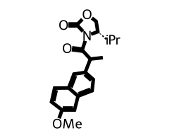 COc1ccc2cc(C(C)C(=O)N3C(=O)OC[C@@H]3C(C)C)ccc2c1